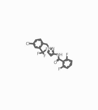 O=C(Nc1ccn(Cc2ccc(Cl)cc2C(F)(F)F)n1)c1c(F)cccc1F